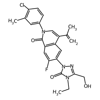 C=C(C)c1cn(-c2ccc(Cl)c(C)c2)c(=O)c2cc(F)c(-n3nc(CO)n(CC)c3=O)cc12